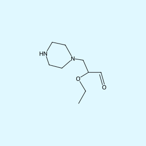 CCOC(C=O)CN1CCNCC1